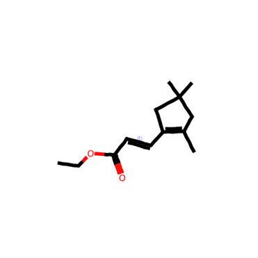 CCOC(=O)/C=C/C1=C(C)CC(C)(C)C1